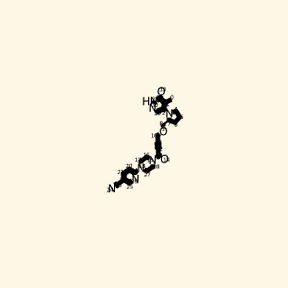 Cc1c(N2CCC[C@H]2COCC#CC(=O)N2CCN(c3ccc(C#N)cn3)CC2)cn[nH]c1=O